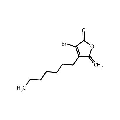 C=C1OC(=O)C(Br)=C1CCCCCCC